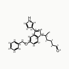 CC(CCCC=O)n1nc(-c2cc[nH]c2)c2cc(OCc3ccccc3)ccc21